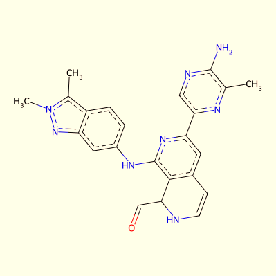 Cc1nc(-c2cc3c(c(Nc4ccc5c(C)n(C)nc5c4)n2)C(C=O)NC=C3)cnc1N